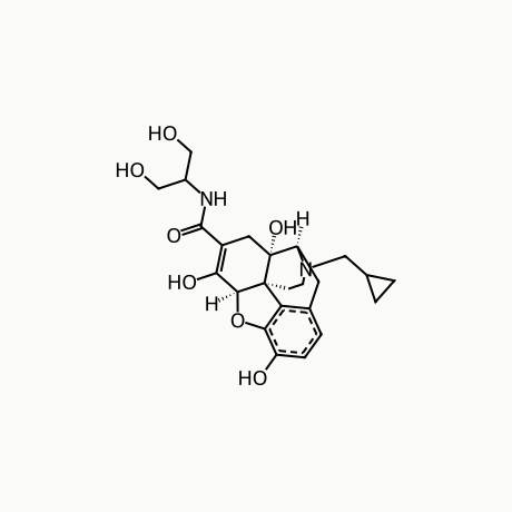 O=C(NC(CO)CO)C1=C(O)[C@@H]2Oc3c(O)ccc4c3[C@@]23CCN(CC2CC2)[C@H](C4)[C@]3(O)C1